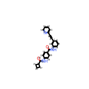 O=C(Nc1cccc(C#Cc2ccccn2)c1)c1ccc(NC(=O)C2CCC2)cc1